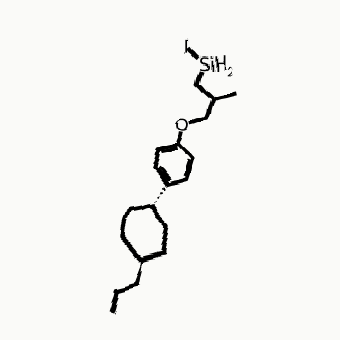 CCC[C@H]1CC[C@H](c2ccc(OCC(C)C[SiH2]I)cc2)CC1